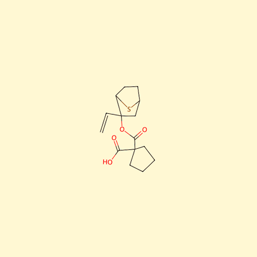 C=CC1(OC(=O)C2(C(=O)O)CCCC2)CC2CCC1S2